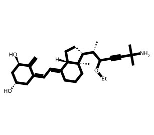 C=C1/C(=C\C=C2CCC[C@]3(C)[C@@H]([C@H](C)C(C#CC(C)(C)N)OCC)CC[C@@H]23)C[C@H](O)C[C@H]1O